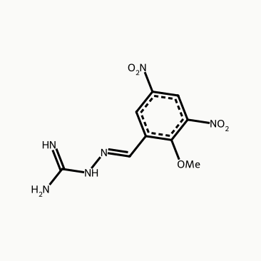 COc1c(/C=N/NC(=N)N)cc([N+](=O)[O-])cc1[N+](=O)[O-]